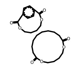 O=C1CCCCCCCCC(=O)OCCCCO1.O=C1OCCCCOC(=O)c2ccc1cc2